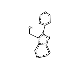 N#CCc1c2ccccc2nn1-c1ccccc1